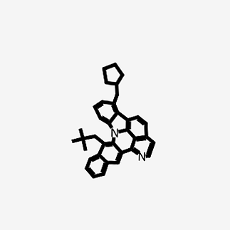 CC(C)(C)Cc1c2ccccc2cc2c3nccc4ccc5c6c(CC7CCCC7)cccc6n(c12)c5c43